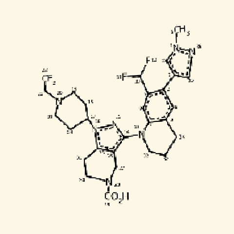 Cn1cc(-c2cc3c(cc2C(F)F)N(c2nn(C4CCN(CC(F)(F)F)CC4)c4c2CN(C(=O)O)CC4)CCC3)cn1